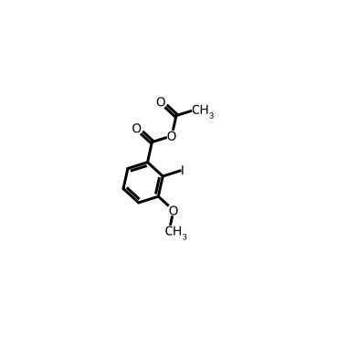 COc1cccc(C(=O)OC(C)=O)c1I